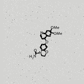 COc1cc2nccc(Oc3ccc4c(c3)OCCN4C(N)=O)c2cc1OC